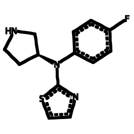 Fc1ccc(N(c2nccs2)[C@H]2CCNC2)cc1